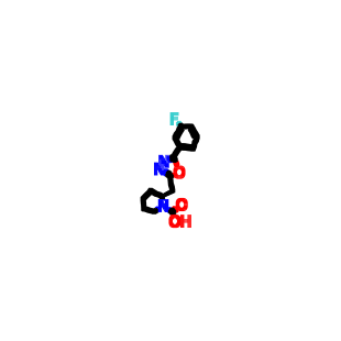 O=C(O)N1CCCC[C@H]1Cc1nnc(-c2cccc(F)c2)o1